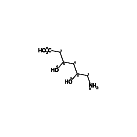 NCC(O)CC(O)CC(=O)O